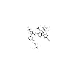 CC(C)(C)OC(=O)NCc1cccc(-n2nc(C(F)(F)F)cc2C(=O)Nc2cccc(C(CCC3CC3)(N[S@+]([O-])C(C)(C)C)c3ccc(C#N)cc3)c2)c1